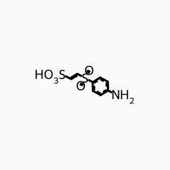 Nc1ccc(S(=O)(=O)C=CS(=O)(=O)O)cc1